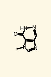 Cn1cnc2cn[nH]c(=O)c21